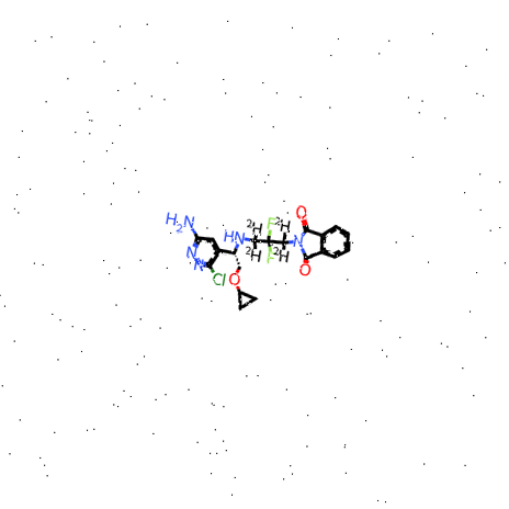 [2H]C([2H])(N[C@H](COC1CC1)c1cc(N)nnc1Cl)C(F)(F)C([2H])([2H])N1C(=O)c2ccccc2C1=O